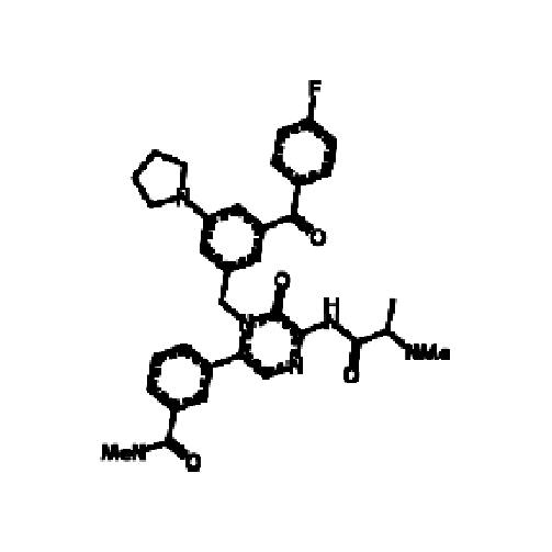 CNC(=O)c1cccc(-c2cnc(NC(=O)C(C)NC)c(=O)n2Cc2cc(C(=O)c3ccc(F)cc3)cc(N3CCCC3)c2)c1